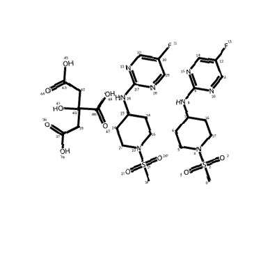 CS(=O)(=O)N1CCC(Nc2ncc(F)cn2)CC1.CS(=O)(=O)N1CCC(Nc2ncc(F)cn2)CC1.O=C(O)CC(O)(CC(=O)O)C(=O)O